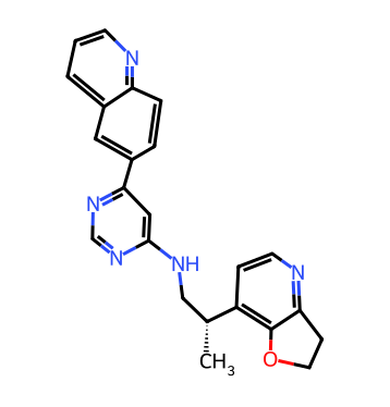 C[C@H](CNc1cc(-c2ccc3ncccc3c2)ncn1)c1ccnc2c1OCC2